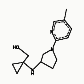 Cc1ccc(N2CCC(NC3(CO)CC3)C2)nc1